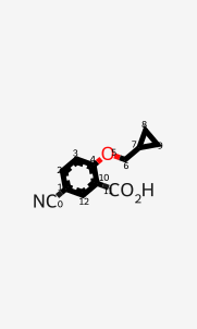 N#Cc1ccc(OCC2CC2)c(C(=O)O)c1